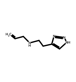 C=CCNCCc1c[nH]nn1